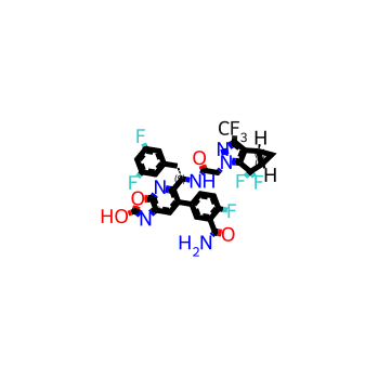 NC(=O)c1cc(-c2cc3nc(O)oc3nc2[C@H](Cc2cc(F)cc(F)c2)NC(=O)Cn2nc(C(F)(F)F)c3c2C(F)(F)[C@@H]2C[C@H]32)ccc1F